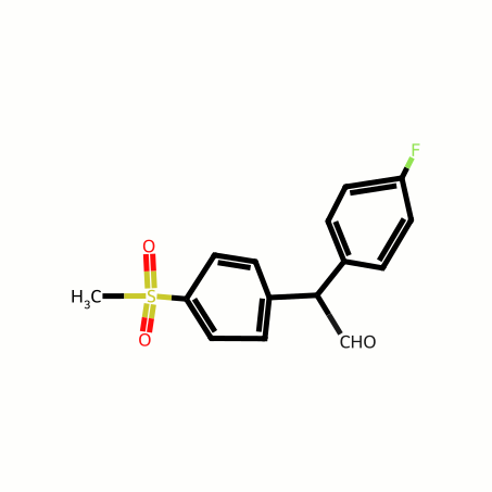 CS(=O)(=O)c1ccc(C(C=O)c2ccc(F)cc2)cc1